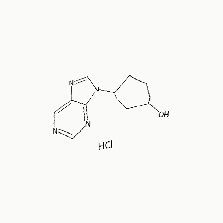 Cl.OC1CCC(n2cnc3cncnc32)C1